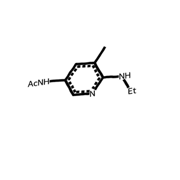 CCNc1ncc(NC(C)=O)cc1C